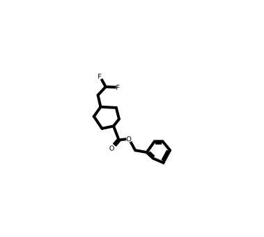 O=C(OCc1ccccc1)C1CCC(CC(F)F)CC1